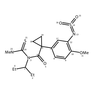 CCC(CC)N(C(=O)C1(c2ccc(OC)c(N=S(=O)=O)c2)CC1)C(=S)NC